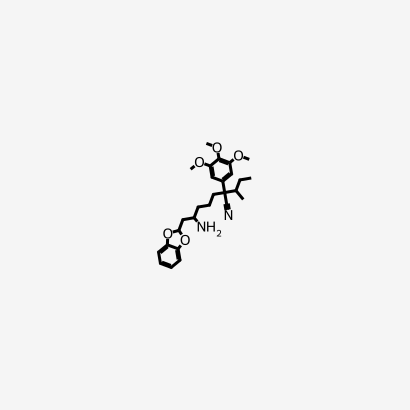 CCC(C)C(C#N)(CCCC(N)CC1Oc2ccccc2O1)c1cc(OC)c(OC)c(OC)c1